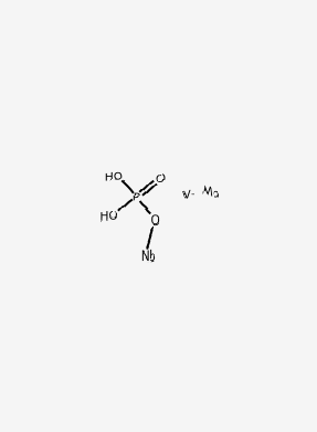 O=P(O)(O)[O][Nb].[Mo].[V]